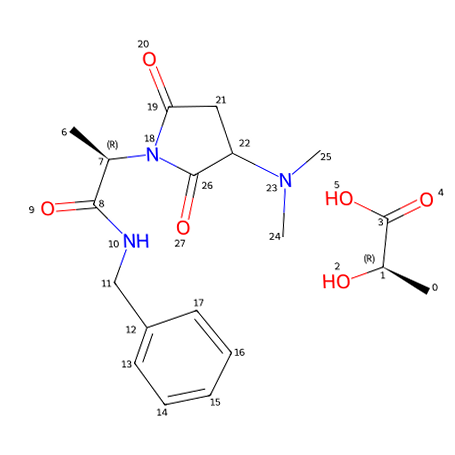 C[C@@H](O)C(=O)O.C[C@H](C(=O)NCc1ccccc1)N1C(=O)CC(N(C)C)C1=O